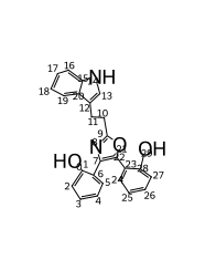 Oc1ccccc1-c1nc(CCc2c[nH]c3ccccc23)oc1-c1ccccc1O